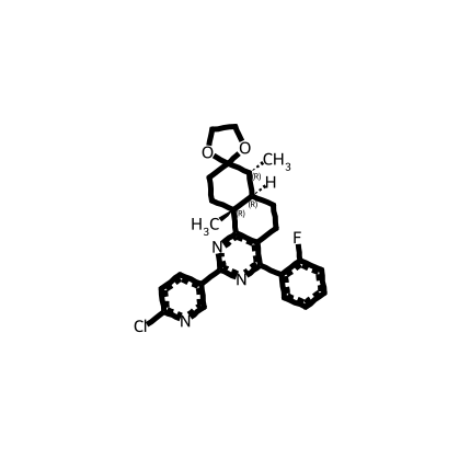 C[C@@H]1[C@H]2CCc3c(-c4ccccc4F)nc(-c4ccc(Cl)nc4)nc3[C@]2(C)CCC12OCCO2